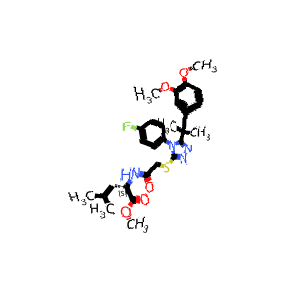 COC(=O)[C@H](CC(C)C)NC(=O)CSc1nnc(C(C)(C)c2ccc(OC)c(OC)c2)n1-c1ccc(F)cc1